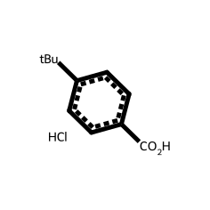 CC(C)(C)c1ccc(C(=O)O)cc1.Cl